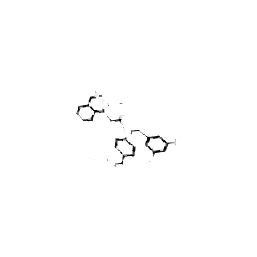 NCc1ccc(N(Cc2cc(F)cc(Cl)c2)C(=O)Cc2nncc3ccccc23)cc1